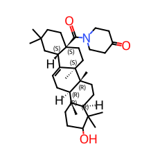 CC1(C)CC[C@]2(C(=O)N3CCC(=O)CC3)CC[C@]3(C)C(=CC[C@@H]4[C@@]5(C)CCC(O)C(C)(C)[C@@H]5CC[C@]43C)[C@@H]2C1